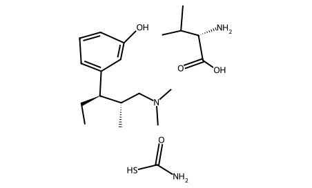 CC(C)[C@H](N)C(=O)O.CC[C@@H](c1cccc(O)c1)[C@@H](C)CN(C)C.NC(=O)S